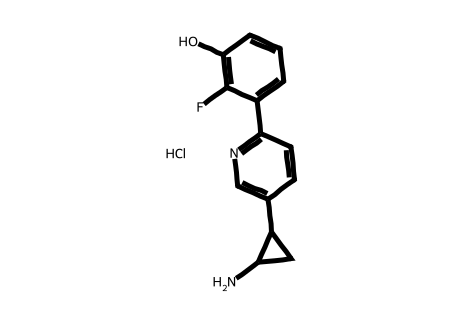 Cl.NC1CC1c1ccc(-c2cccc(O)c2F)nc1